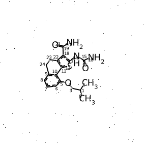 CC(C)COc1cccc2c1-c1sc(NC(N)=O)c(C(N)=O)c1CC2